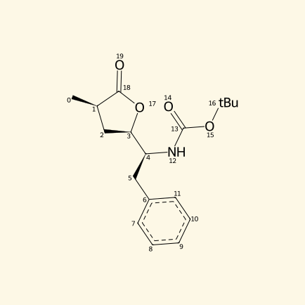 C[C@@H]1C[C@H]([C@H](Cc2ccccc2)NC(=O)OC(C)(C)C)OC1=O